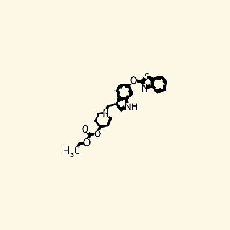 CCOC(=O)OC1CCN(Cc2c[nH]c3cc(Oc4nc5ccccc5s4)ccc23)CC1